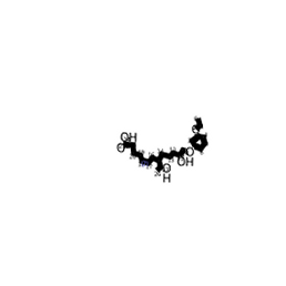 CCOc1cccc(OCC(O)CCCC(C/C=C\CCCC(=O)O)C(C)O)c1